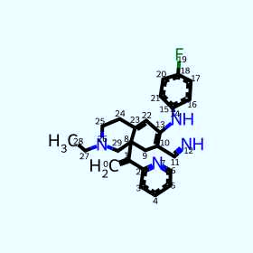 C=C(c1ccccn1)C12CC(C=N)=C(Nc3ccc(F)cc3)C=C1CCN(CC)C2